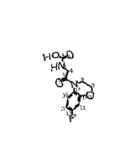 O=C(O)NCC(=O)N1CCOc2cc(F)ccc21